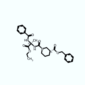 CCOC(=O)[C@@](C)(NC(=O)c1ccccc1)NC(=O)N1CCC[C@@H](C(=O)OCc2ccccc2)C1